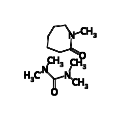 CN(C)C(=O)N(C)C.CN1CCCCCC1=O